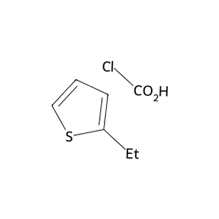 CCc1cccs1.O=C(O)Cl